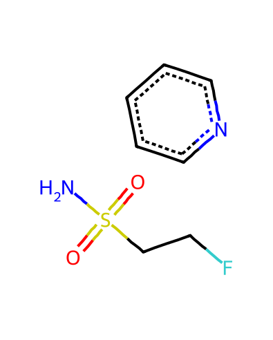 NS(=O)(=O)CCF.c1ccncc1